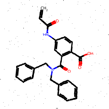 C=CC(=O)Nc1ccc(C(=O)O)c(C(=O)N(Cc2ccccc2)Cc2ccccc2)c1